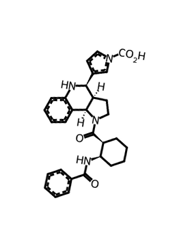 O=C(N[C@@H]1CCCC[C@@H]1C(=O)N1CC[C@@H]2[C@H](c3ccn(C(=O)O)c3)Nc3ccccc3[C@@H]21)c1ccccc1